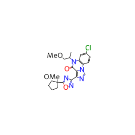 COCC(C)n1c(=O)c2c(-c3noc(C4(OC)CCCC4)n3)ncn2c2ccc(Cl)cc21